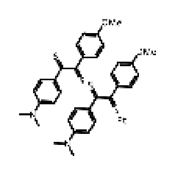 COc1ccc(C(=S)C(=S)c2ccc(N(C)C)cc2)cc1.COc1ccc(C(=S)C(=S)c2ccc(N(C)C)cc2)cc1.[Pt]